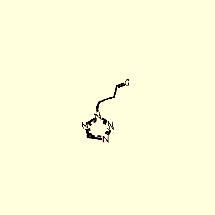 O=CCCn1ncnn1